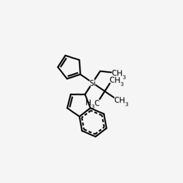 CC[Si](C1=CC=CC1)(C1C=Cc2ccccc21)C(C)(C)C